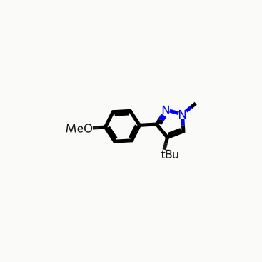 COc1ccc(-c2nn(C)cc2C(C)(C)C)cc1